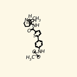 C[C@H]1[C@H](NC(=O)c2ccc(-c3ccc(NS(C)(=O)=O)cc3)s2)C2CCN1CC2